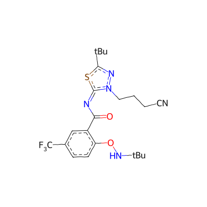 CC(C)(C)NOc1ccc(C(F)(F)F)cc1C(=O)N=c1sc(C(C)(C)C)nn1CCCC#N